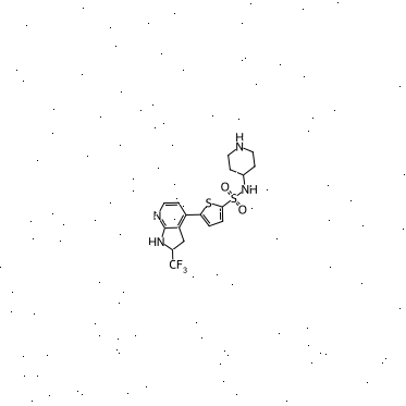 O=S(=O)(NC1CCNCC1)c1ccc(-c2ccnc3c2CC(C(F)(F)F)N3)s1